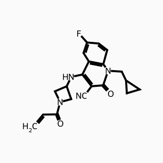 C=CC(=O)N1CC(Nc2c(C#N)c(=O)n(CC3CC3)c3ccc(F)cc23)C1